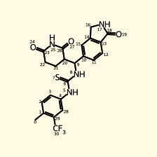 Cc1ccc(NC(=S)NC(c2ccc3c(c2)CNC3=O)C2CCC(=O)NC2=O)cc1C(F)(F)F